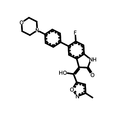 Cc1cc(C(O)=C2C(=O)Nc3cc(F)c(-c4ccc(N5CCOCC5)cc4)cc32)on1